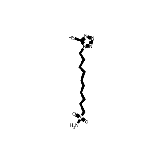 NS(=O)(=O)CCCCCCCCCCn1nnnc1S